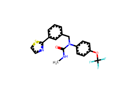 CNC(=O)N(Cc1cccc(-c2nccs2)c1)c1ccc(OC(F)(F)F)cc1